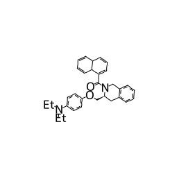 CCN(CC)c1ccc(OC[C@@H]2Cc3ccccc3CN2C(=O)C2=CC=CC3C=CC=CC23)cc1